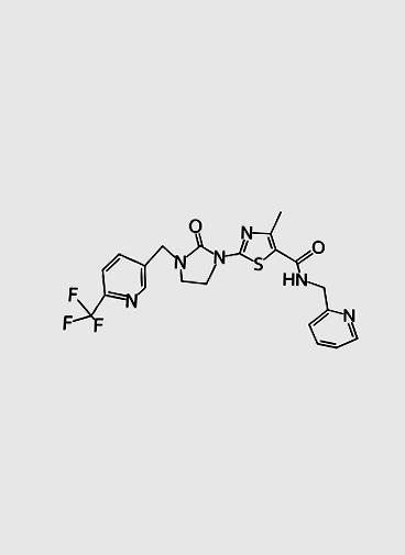 Cc1nc(N2CCN(Cc3ccc(C(F)(F)F)nc3)C2=O)sc1C(=O)NCc1ccccn1